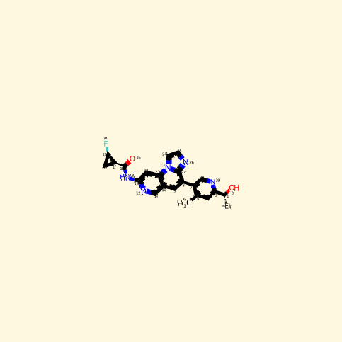 CC[C@@H](O)c1cc(C)c(-c2cc3cnc(NC(=O)[C@H]4C[C@H]4F)cc3n3ccnc23)cn1